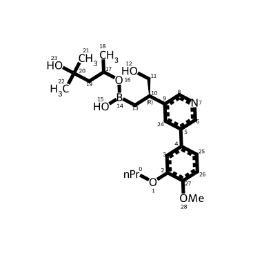 CCCOc1cc(-c2cncc([C@H](CO)CB(O)OC(C)CC(C)(C)O)c2)ccc1OC